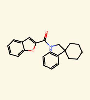 O=C(NCC1(c2ccccc2)CCCCC1)c1cc2ccccc2o1